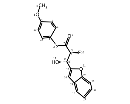 COc1ccc(SC(=O)[C@@H](F)[C@@H](O)c2cc3ccccc3o2)cc1